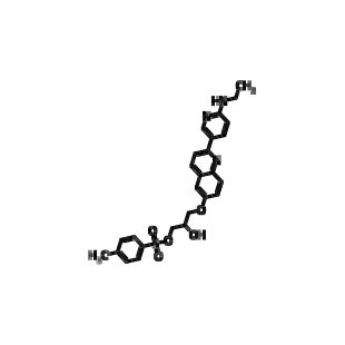 CCNc1ccc(-c2ccc3cc(OCC(O)COS(=O)(=O)c4ccc(C)cc4)ccc3n2)cn1